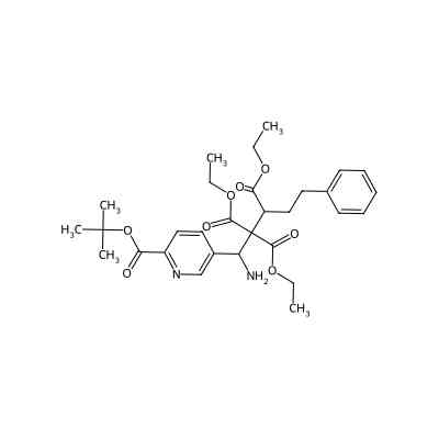 CCOC(=O)C(CCc1ccccc1)C(C(=O)OCC)(C(=O)OCC)C(N)c1ccc(C(=O)OC(C)(C)C)nc1